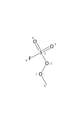 COOS(=O)(=O)F